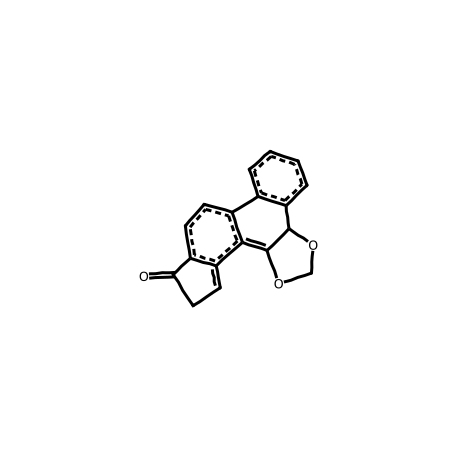 O=C1CC=c2c1ccc1c2=C2OCOC2c2ccccc2-1